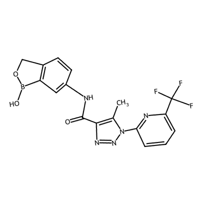 Cc1c(C(=O)Nc2ccc3c(c2)B(O)OC3)nnn1-c1cccc(C(F)(F)F)n1